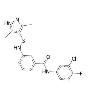 Cc1n[nH]c(C)c1SNc1cccc(C(=O)Nc2ccc(F)c(Cl)c2)c1